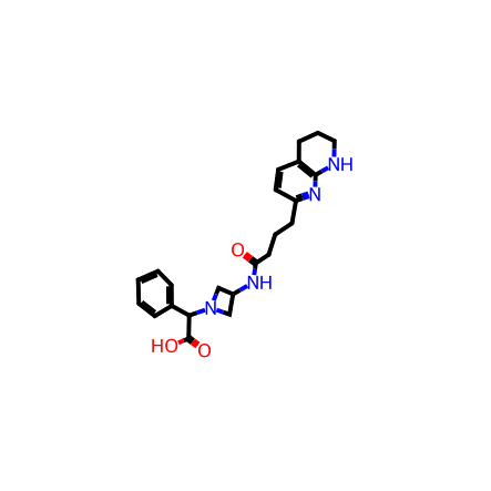 O=C(CCCc1ccc2c(n1)NCCC2)NC1CN(C(C(=O)O)c2ccccc2)C1